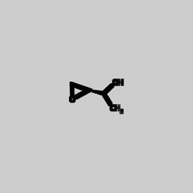 CC(O)[C@H]1CO1